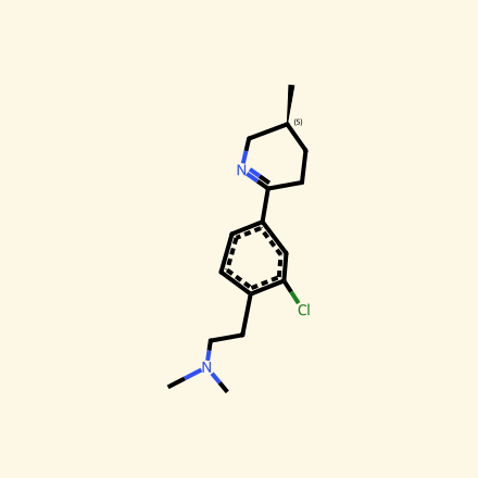 C[C@H]1CCC(c2ccc(CCN(C)C)c(Cl)c2)=NC1